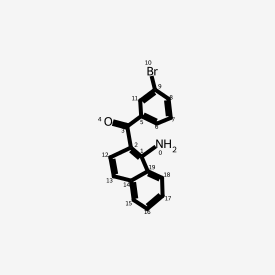 Nc1c(C(=O)c2cccc(Br)c2)ccc2ccccc12